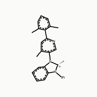 Cc1cc(-c2c(C)cccc2C)ncc1N1c2ccccc2N(C(C)C)[C@H]1C